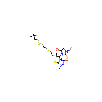 CCN1CC(=O)N(C(N2C(=O)CN(CC)C2=S)C(C)(C)CCSCCCSCCC(C)(C)C)C1=S